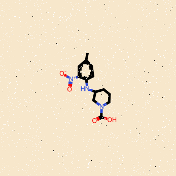 Cc1ccc(NC2CCCN(C(=O)O)C2)c([N+](=O)[O-])c1